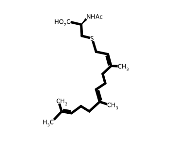 CC(=O)N[C@@H](CSC/C=C(/C)CC/C=C(\C)CCC=C(C)C)C(=O)O